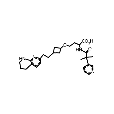 CC(C)(C(=O)NC(CCOC1CC(CCc2ccc3c(n2)NCCC3)C1)C(=O)O)c1cccnc1